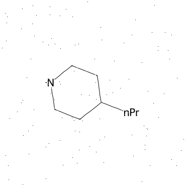 C[CH]CC1CC[N]CC1